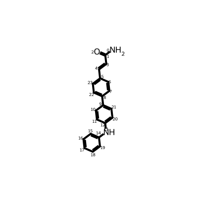 NC(=O)C=Cc1ccc(-c2ccc(Nc3ccccc3)cc2)cc1